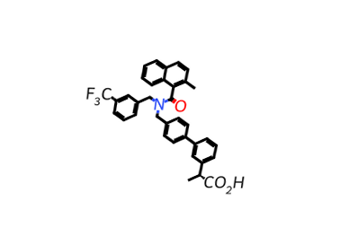 Cc1ccc2ccccc2c1C(=O)N(Cc1ccc(-c2cccc([C@H](C)C(=O)O)c2)cc1)Cc1cccc(C(F)(F)F)c1